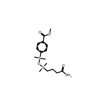 COC(=O)c1ccc([Si](C)(C)O[Si](C)(C)CCCC(N)=O)cc1